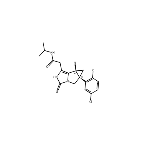 CC(C)NC(=O)Cc1[nH]c(=S)n2c1[C@@H]1C[C@]1(c1cc(Cl)ccc1F)C2